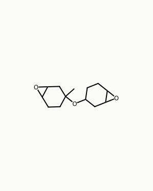 CC1(OC2CCC3OC3C2)CCC2OC2C1